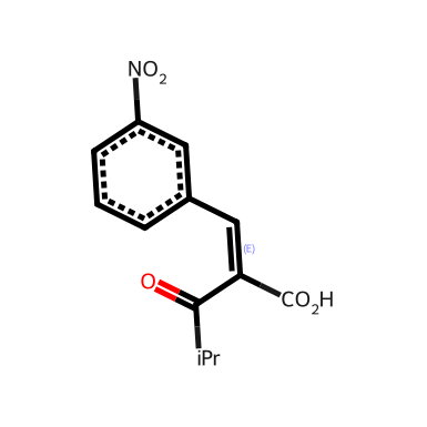 CC(C)C(=O)/C(=C\c1cccc([N+](=O)[O-])c1)C(=O)O